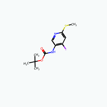 CSc1cc(I)c(NC(=O)OC(C)(C)C)cn1